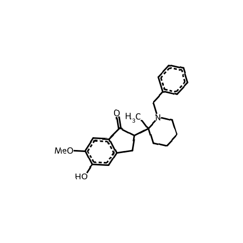 COc1cc2c(cc1O)CC(C1(C)CCCCN1Cc1ccccc1)C2=O